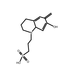 C=C1C=C2CCCN(CCCS(=O)(=O)O)C2C=C1O